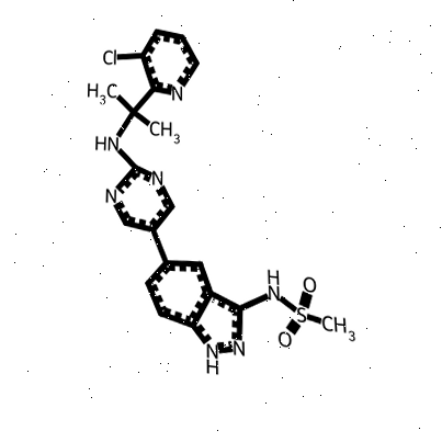 CC(C)(Nc1ncc(-c2ccc3[nH]nc(NS(C)(=O)=O)c3c2)cn1)c1ncccc1Cl